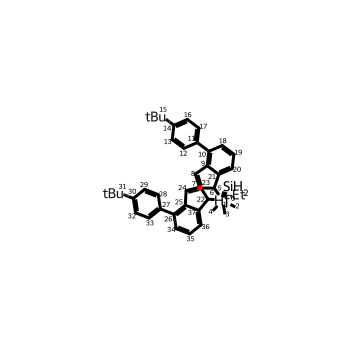 C[CH2][Hf]([CH3])([CH3])([CH3])(=[SiH2])([CH]1C=Cc2c(-c3ccc(C(C)(C)C)cc3)cccc21)[CH]1C=Cc2c(-c3ccc(C(C)(C)C)cc3)cccc21